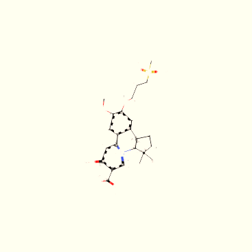 COc1cc2c(cc1OCCCS(C)(=O)=O)[C@H]1CCC(C)(C)[C@H]1n1cc(C(=O)O)c(=O)cc1-2